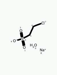 O.O=S(=O)([O-])CCCl.[Na+]